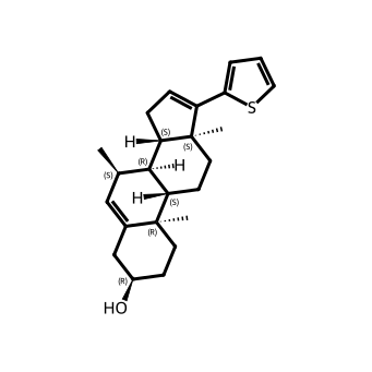 C[C@@H]1C=C2C[C@H](O)CC[C@]2(C)[C@H]2CC[C@]3(C)C(c4cccs4)=CC[C@H]3[C@H]12